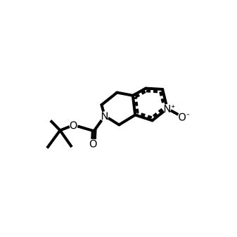 CC(C)(C)OC(=O)N1CCc2cc[n+]([O-])cc2C1